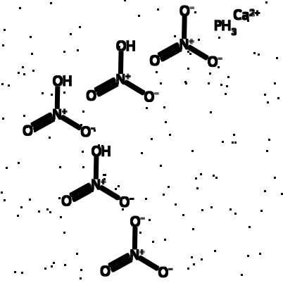 O=[N+]([O-])O.O=[N+]([O-])O.O=[N+]([O-])O.O=[N+]([O-])[O-].O=[N+]([O-])[O-].P.[Ca+2]